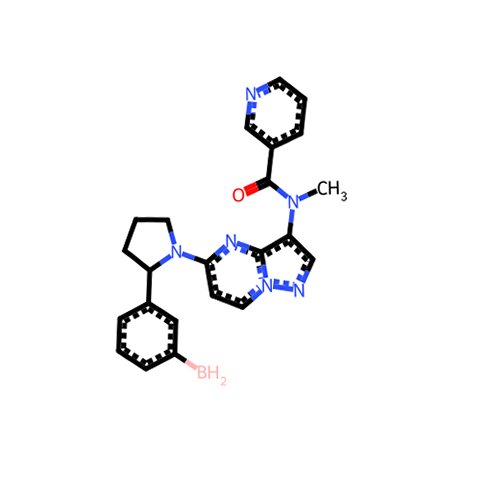 Bc1cccc(C2CCCN2c2ccn3ncc(N(C)C(=O)c4cccnc4)c3n2)c1